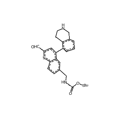 CC(C)(C)OC(=O)NCc1ccc2nc(C=O)cc(-c3cccc4c3CCNC4)c2c1